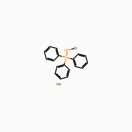 Br.CCP[PH](c1ccccc1)(c1ccccc1)c1ccccc1